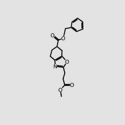 COC(=O)CCc1nc2c(o1)CC(C(=O)OCc1ccccc1)CC2